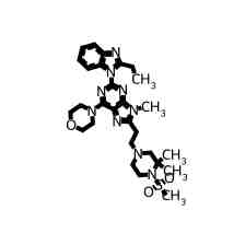 CCc1nc2ccccc2n1-c1nc(N2CCOCC2)c2nc(CCN3CCN(S(C)(=O)=O)C(C)(C)C3)n(C)c2n1